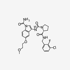 COCCOc1ccc2c(c1)c(NC(=O)N1CCC[C@H]1C(=O)NCc1cccc(Cl)c1F)cn2C(N)=O